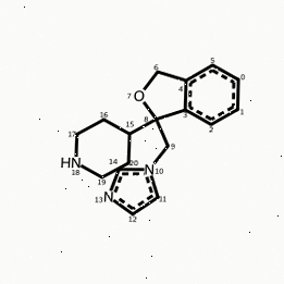 c1ccc2c(c1)COC2(Cn1ccnc1)C1CCNCC1